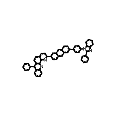 c1ccc(-c2c3ccccc3nc3c2ccc2ccc(-c4ccc5cc6cc(-c7ccc(-n8c(-c9ccccc9)nc9ccccc98)cc7)ccc6cc5c4)nc23)cc1